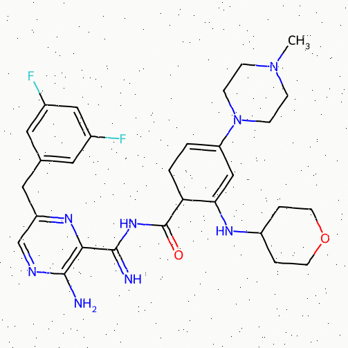 CN1CCN(C2=CCC(C(=O)NC(=N)c3nc(Cc4cc(F)cc(F)c4)cnc3N)C(NC3CCOCC3)=C2)CC1